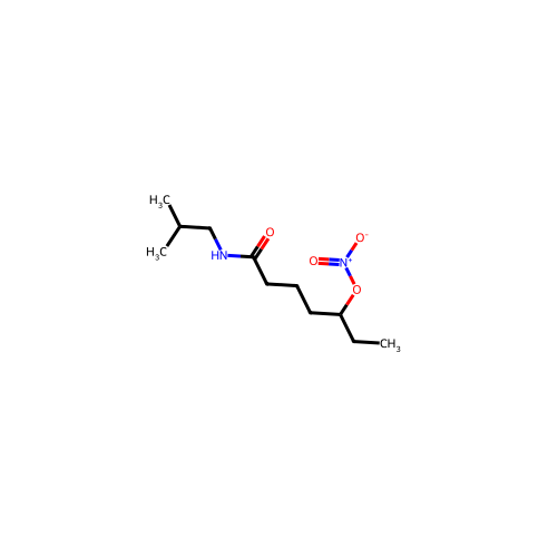 CCC(CCCC(=O)NCC(C)C)O[N+](=O)[O-]